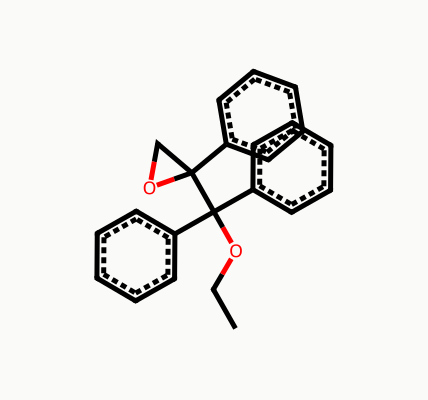 CCOC(c1ccccc1)(c1ccccc1)C1(c2ccccc2)CO1